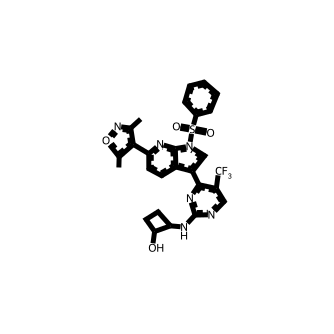 Cc1noc(C)c1-c1ccc2c(-c3nc(NC4CCC4O)ncc3C(F)(F)F)cn(S(=O)(=O)c3ccccc3)c2n1